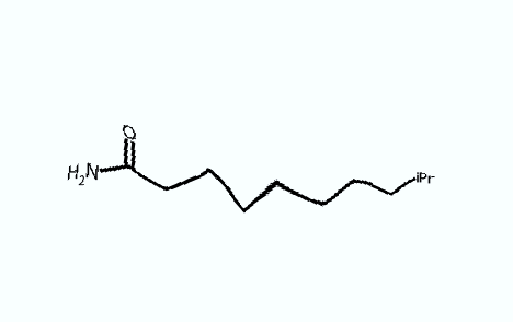 CC(C)CCCCCCCC(N)=O